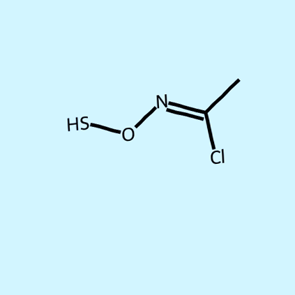 CC(Cl)=NOS